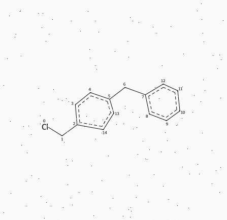 ClCc1ccc(Cc2ccccc2)cc1